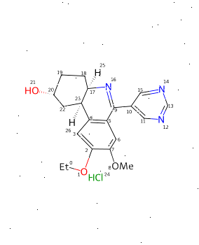 CCOc1cc2c(cc1OC)C(c1cncnc1)=N[C@@H]1CC[C@@H](O)C[C@H]21.Cl